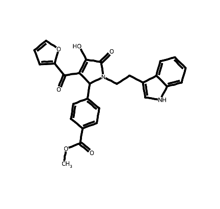 COC(=O)c1ccc(C2C(C(=O)c3ccco3)=C(O)C(=O)N2CCc2c[nH]c3ccccc23)cc1